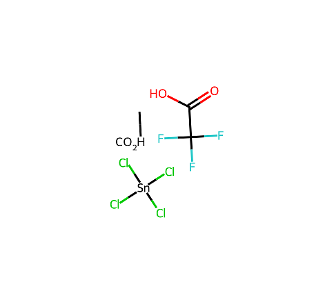 CC(=O)O.O=C(O)C(F)(F)F.[Cl][Sn]([Cl])([Cl])[Cl]